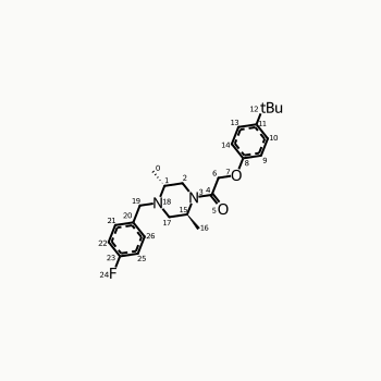 C[C@@H]1CN(C(=O)COc2ccc(C(C)(C)C)cc2)[C@@H](C)CN1Cc1ccc(F)cc1